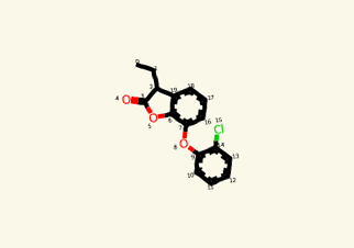 CCC1C(=O)Oc2c(Oc3ccccc3Cl)cccc21